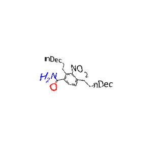 CCCCCCCCCCCCc1ccc(C(N)=O)c(CCCCCCCCCCCC)c1[N+](=O)[O-]